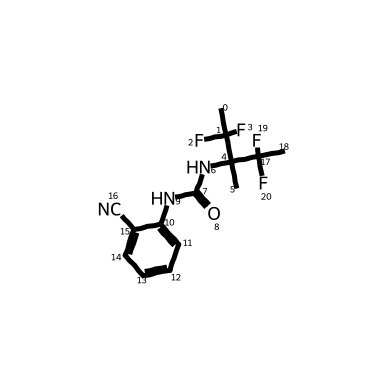 CC(F)(F)C(C)(NC(=O)Nc1ccccc1C#N)C(C)(F)F